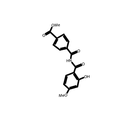 COC(=O)c1ccc(C(=O)NC(=O)c2ccc(OC)cc2O)cc1